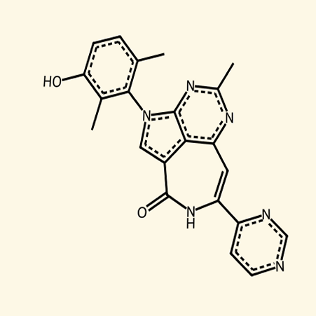 Cc1nc2c3c(cn(-c4c(C)ccc(O)c4C)c3n1)C(=O)NC(c1ccncn1)=C2